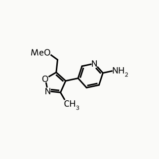 COCc1onc(C)c1-c1ccc(N)nc1